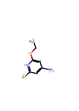 CCOc1cc(N)cc(Br)n1